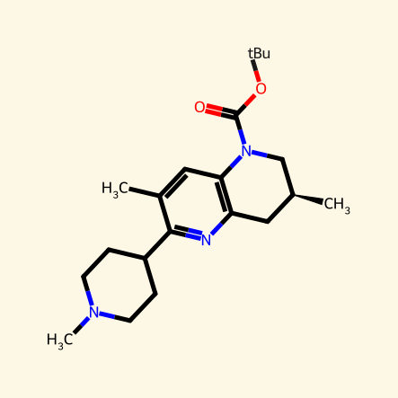 Cc1cc2c(nc1C1CCN(C)CC1)C[C@H](C)CN2C(=O)OC(C)(C)C